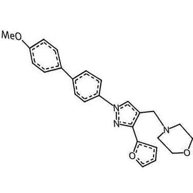 COc1ccc(-c2ccc(-n3cc(CN4CCOCC4)c(-c4ccco4)n3)cc2)cc1